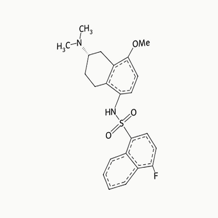 COc1ccc(NS(=O)(=O)c2ccc(F)c3ccccc23)c2c1C[C@@H](N(C)C)CC2